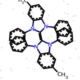 Cc1ccc2c(c1)N(c1ccccc1)/C(=C1\N(c3ccccc3)c3ccc(C)cc3N1c1ccccc1)N2c1ccccc1